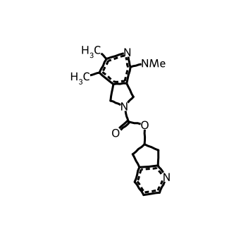 CNc1nc(C)c(C)c2c1CN(C(=O)OC1Cc3cccnc3C1)C2